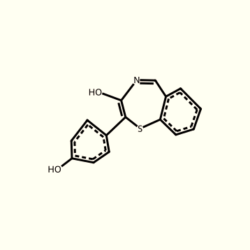 OC1=C(c2ccc(O)cc2)Sc2ccccc2C=N1